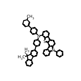 CC1C=C(c2ccc(N(c3ccc(-c4ccc5c(c4)C(C)(C)c4ccccc4-5)cc3)c3cccc4c3sc3c4ccc4c3c3ccccc3n4-c3ccccc3)cc2)C=CC1